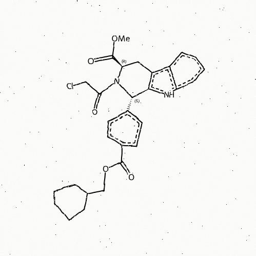 COC(=O)[C@H]1Cc2c([nH]c3ccccc23)[C@H](c2ccc(C(=O)OCC3CCCCC3)cc2)N1C(=O)CCl